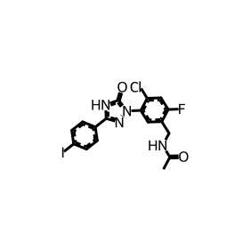 CC(=O)NCc1cc(-n2nc(-c3ccc(I)cc3)[nH]c2=O)c(Cl)cc1F